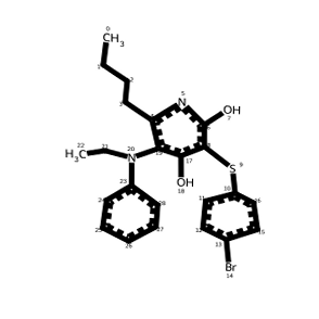 CCCCc1nc(O)c(Sc2ccc(Br)cc2)c(O)c1N(CC)c1ccccc1